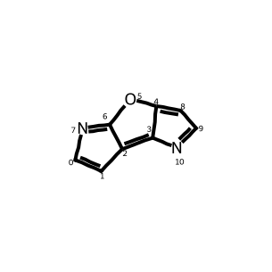 C1=Cc2c3c(oc2=N1)=CC=N3